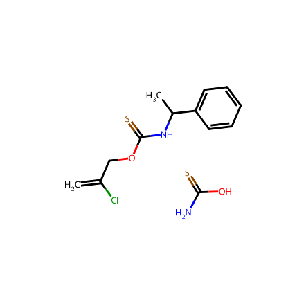 C=C(Cl)COC(=S)NC(C)c1ccccc1.NC(O)=S